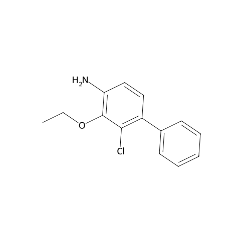 CCOc1c(N)ccc(-c2ccccc2)c1Cl